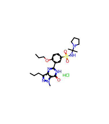 CCCOc1ccc(S(=O)(=O)NC(C)(C)N2CCCC2)cc1-c1nc2c(CCC)nn(C)c2c(=O)[nH]1.Cl